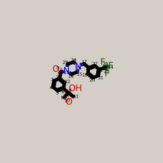 O=C(c1cccc(C2(O)COC2)c1)N1CCN(Cc2cccc(C(F)(F)F)c2)CC1